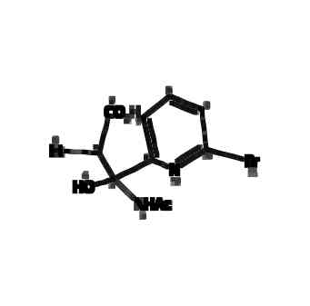 CCC(C(=O)O)C(O)(NC(C)=O)c1cccc(Br)n1